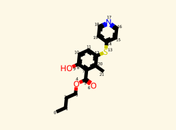 CCCCOC(=O)c1c(O)ccc(Sc2ccncc2)c1C